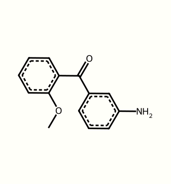 COc1ccccc1C(=O)c1cccc(N)c1